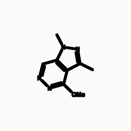 COc1nncc2c1c(C)nn2C